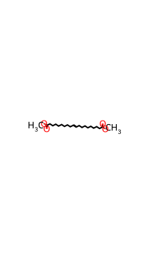 COC(=O)CCCCCCCC/C=C/CCCCCCCCC(=O)OC